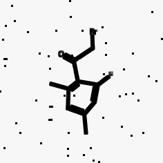 Cc1cc(C)c(C(=O)CBr)c(F)c1